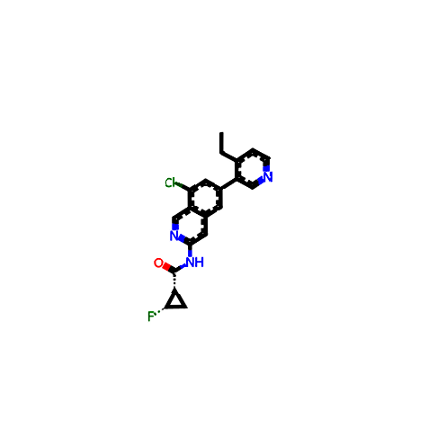 CCc1ccncc1-c1cc(Cl)c2cnc(NC(=O)[C@@H]3C[C@@H]3F)cc2c1